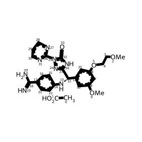 CC(=O)O.COCCOc1cc(OC)cc([C@H](Nc2ccc(C(=N)N)cc2)c2nn(-c3ncccn3)c(=O)[nH]2)c1